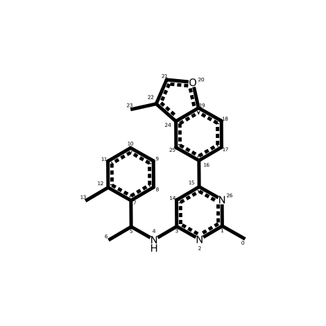 Cc1nc(NC(C)c2ccccc2C)cc(-c2ccc3occ(C)c3c2)n1